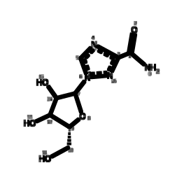 NC(=O)c1ncn(C2O[C@H](CO)C(O)C2O)n1